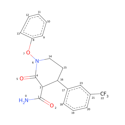 NC(=O)C1C(=O)N(Oc2ccccc2)CCC1c1cccc(C(F)(F)F)c1